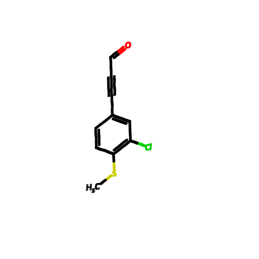 CSc1ccc(C#CC=O)cc1Cl